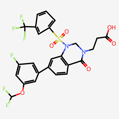 O=C(O)CCN1CN(S(=O)(=O)c2cccc(C(F)(F)F)c2)c2cc(-c3cc(F)cc(OC(F)F)c3)ccc2C1=O